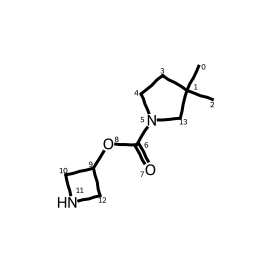 CC1(C)CCN(C(=O)OC2CNC2)C1